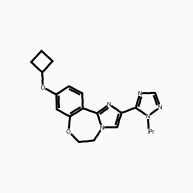 CC(C)n1ncnc1-c1cn2c(n1)-c1ccc(OC3CCC3)cc1OCC2